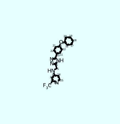 FC(F)(F)c1cc(NCc2nnc(-c3ccc(Oc4ccccc4)cc3)[nH]2)ccn1